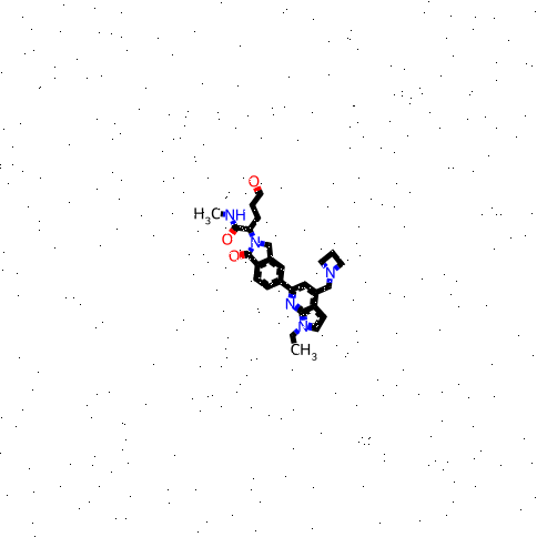 CCn1ccc2c(CN3CCC3)cc(-c3ccc4c(c3)CN(C(CCC=O)C(=O)NC)C4=O)nc21